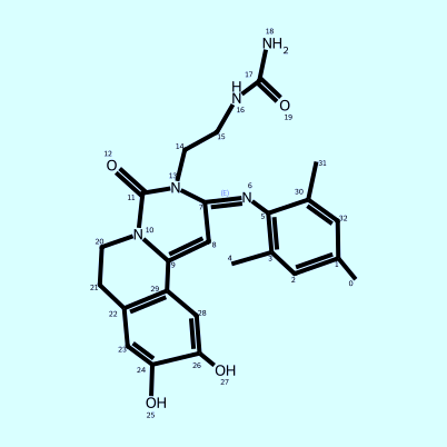 Cc1cc(C)c(/N=c2\cc3n(c(=O)n2CCNC(N)=O)CCc2cc(O)c(O)cc2-3)c(C)c1